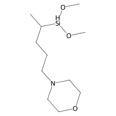 CO[SiH](OC)C(C)CCCN1CCOCC1